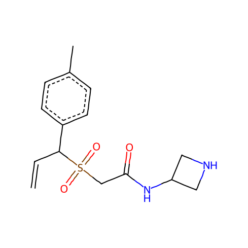 C=CC(c1ccc(C)cc1)S(=O)(=O)CC(=O)NC1CNC1